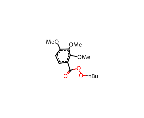 [CH2]CCCOOC(=O)c1ccc(OC)c(OC)c1OC